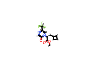 COC(=O)[C@H](CC1CCC1)n1cc(C(F)(F)F)ncc1=O